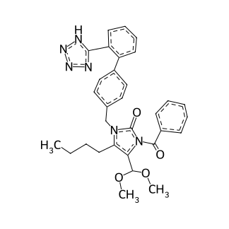 CCCCc1c(C(OC)OC)n(C(=O)c2ccccc2)c(=O)n1Cc1ccc(-c2ccccc2-c2nnn[nH]2)cc1